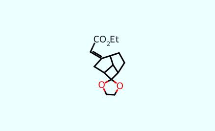 CCOC(=O)C=C1CC2C3C1CCC3C21OCCO1